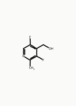 Cc1ncc(F)c(CO)c1F